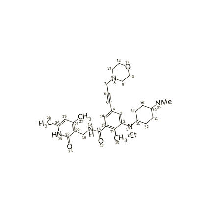 CCN(c1cc(C#CCN2CCOCC2)cc(C(=O)NCc2c(C)cc(C)[nH]c2=O)c1C)C1CCC(NC)CC1